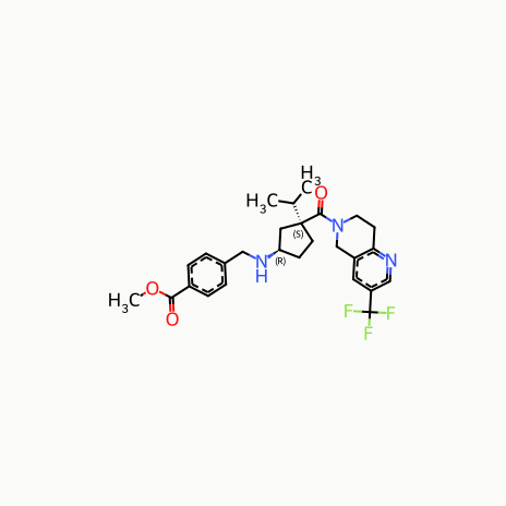 COC(=O)c1ccc(CN[C@@H]2CC[C@@](C(=O)N3CCc4ncc(C(F)(F)F)cc4C3)(C(C)C)C2)cc1